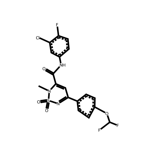 CN1C(C(=O)Nc2ccc(F)c(Cl)c2)=CC(c2ccc(OC(F)F)cc2)=NS1(=O)=O